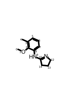 COc1c(C)cccc1NC1=NCCC1